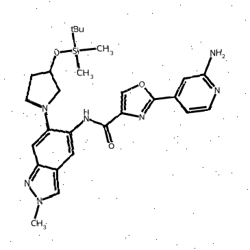 Cn1cc2cc(NC(=O)c3coc(-c4ccnc(N)c4)n3)c(N3CCC(O[Si](C)(C)C(C)(C)C)C3)cc2n1